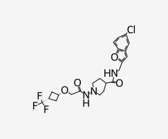 O=C(CO[C@H]1C[C@@H](C(F)(F)F)C1)NN1CCC(C(=O)NCc2cc3cc(Cl)ccc3o2)CC1